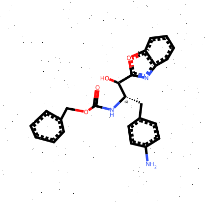 Nc1ccc(C[C@H](NC(=O)OCc2ccccc2)C(O)c2nc3ccccc3o2)cc1